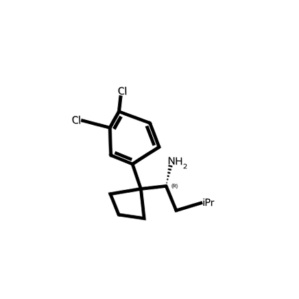 CC(C)C[C@@H](N)C1(c2ccc(Cl)c(Cl)c2)CCC1